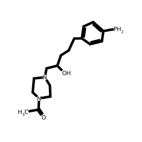 CC(=O)N1CCN(CC(O)CCCc2ccc(P)cc2)CC1